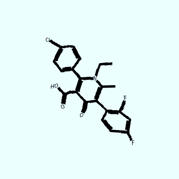 CCn1c(C)c(-c2ccc(F)cc2F)c(=O)c(C(=O)O)c1-c1ccc(Cl)cc1